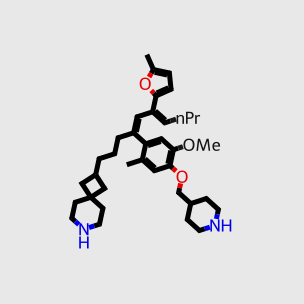 CCC/C=C(/C=C(/CCCC1CC2(CCNCC2)C1)c1cc(OC)c(OCC2CCNCC2)cc1C)c1ccc(C)o1